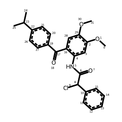 COc1cc(NC(=O)C(Cl)c2ccccc2)c(C(=O)c2ccc(C(C)C)cc2)cc1OC